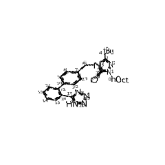 CCCCCCCCn1nc(C(C)(C)C)n(Cc2ccc(-c3ccccc3-c3nnn[nH]3)cc2)c1=O